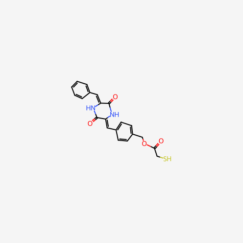 O=C(CS)OCc1ccc(C=c2[nH]c(=O)c(=Cc3ccccc3)[nH]c2=O)cc1